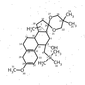 CC[C@]12C[C@@](O)(C[Si](C)(C)C)C3C4=C(CCC3C1CCC21OCC(C)(C)CO1)CC(OC)=CC4